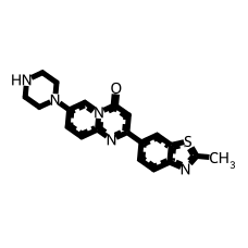 Cc1nc2ccc(-c3cc(=O)n4cc(N5CCNCC5)ccc4n3)cc2s1